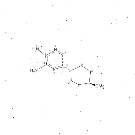 CO[C@H]1CC[C@H](c2cnc(N)c(N)n2)CC1